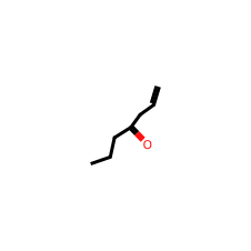 C=CCC(=O)CCC